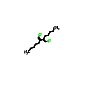 CCCCCC(=CCl)C(CCl)CCCCC